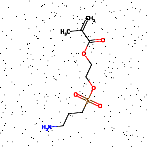 C=C(C)C(=O)OCCOS(=O)(=O)CCCN